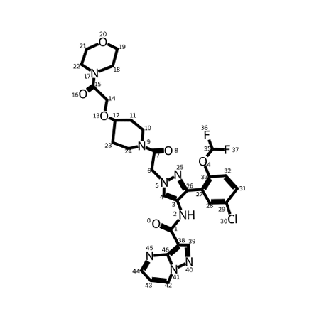 O=C(Nc1cn(CC(=O)N2CCC(OCC(=O)N3CCOCC3)CC2)nc1-c1cc(Cl)ccc1OC(F)F)c1cnn2cccnc12